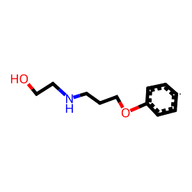 OCCNCCCOc1cc[c]cc1